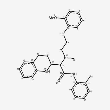 COc1ccccc1OCCN(C)C(C(=O)Nc1ccccc1C)C1CCc2ccccc2N1